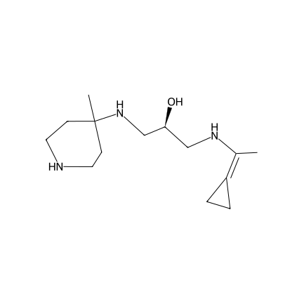 CC(NC[C@H](O)CNC1(C)CCNCC1)=C1CC1